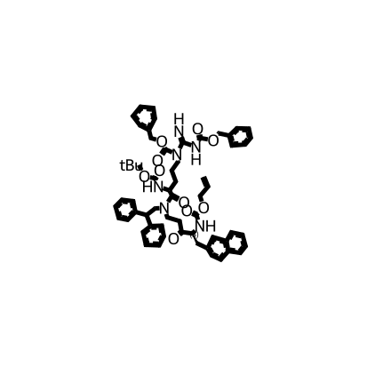 C=CCOC(=O)N[C@@H](Cc1ccc2ccccc2c1)C(=O)CCN(CC(c1ccccc1)c1ccccc1)C(=O)C(CCCN(C(=N)NC(=O)OCc1ccccc1)C(=O)OCc1ccccc1)NC(=O)OC(C)(C)C